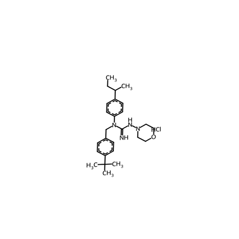 CCC(C)c1ccc(N(Cc2ccc(C(C)(C)C)cc2)C(=N)NN2CCOCC2)cc1.Cl